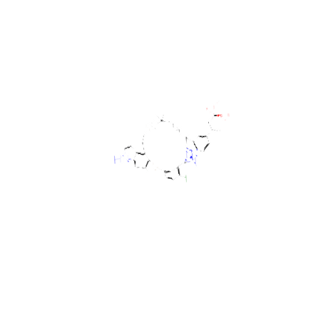 COC(=O)CC(C)c1cccc([C@@]2(C)CCCC(C)(C)CSCCc3c(c(F)cc4[nH]ccc34)Sc3ccc(F)c(c3)-c3nc2nn3C)c1